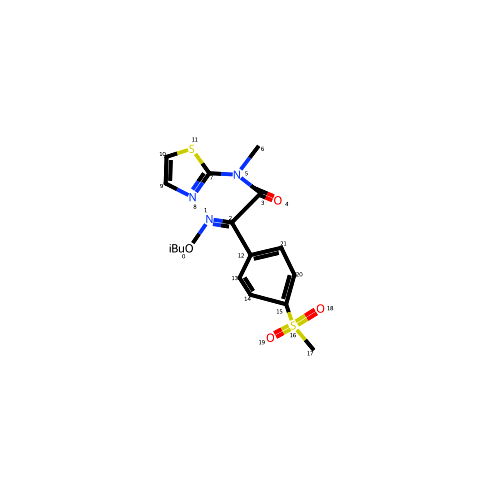 CC(C)CO/N=C(/C(=O)N(C)c1nccs1)c1ccc(S(C)(=O)=O)cc1